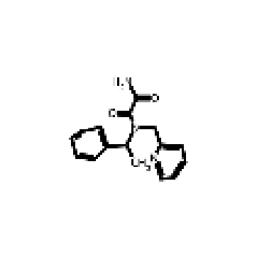 CC(c1ccccc1)N(Cc1ccccn1)C(=O)C(N)=O